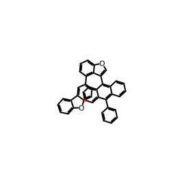 c1ccc(-c2c3ccccc3c(-c3coc4cccc(-c5ccc6oc7ccccc7c6c5)c34)c3ccccc23)cc1